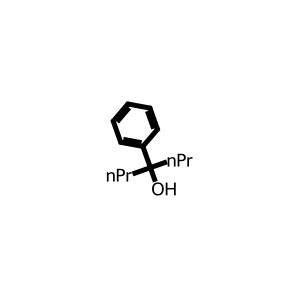 CCCC(O)(CCC)c1ccccc1